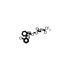 CN(C(=O)OCOC(=O)CNC(=O)C(F)(F)F)C1(c2ccccc2Cl)CCCCC1=O